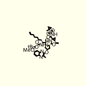 C=CCCCCC[C@H](NC(=O)OC(C)(C)C)C(=O)N1C[C@H](Oc2nc3cc(OC)ccc3nc2C)C[C@H]1C(=O)N[C@]1(C(=O)NS(=O)(=O)C2(C)CC2)C[C@H]1C=C